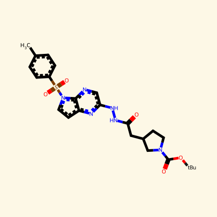 Cc1ccc(S(=O)(=O)n2ccc3nc(NNC(=O)CC4CCN(C(=O)OC(C)(C)C)C4)cnc32)cc1